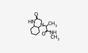 CNC(=O)C(C)N1CC(=O)NC2CCCCC21